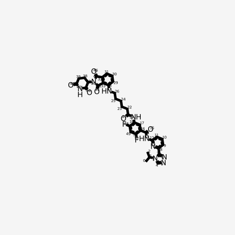 CC(C)n1cnnc1-c1cccc(NC(=O)c2cc(NC(=O)CCCCCNc3cccc4c3C(=O)N(C3CCC(=O)NC3=O)C4=O)c(F)cc2F)n1